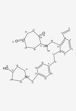 C=Cc1cccc(CCc2ccc(CN3CCC(O)CC3)cc2)c1CN(C)C1CCC(=O)CCC1=O